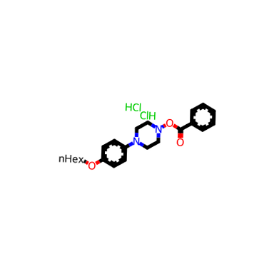 CCCCCCOc1ccc(N2CCN(OC(=O)c3ccccc3)CC2)cc1.Cl.Cl